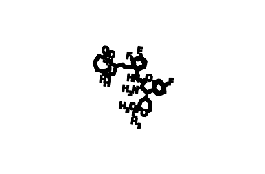 CC1(C)CC([C@H](c2ccc(F)cc2)[C@H](N)C(=O)Nc2ccc(F)c(F)c2CCC2CN[C@@H]3CCCS(=O)(=O)N2C3)CCO1